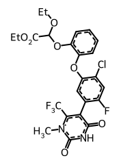 CCOC(=O)C(OCC)Oc1ccccc1Oc1cc(-c2c(C(F)(F)F)n(C)c(=O)[nH]c2=O)c(F)cc1Cl